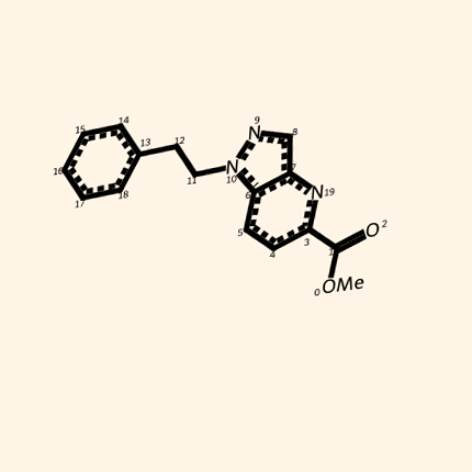 COC(=O)c1ccc2c(cnn2CCc2ccccc2)n1